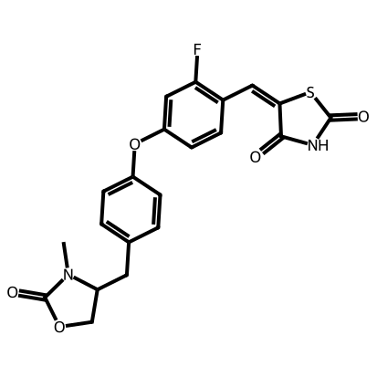 CN1C(=O)OCC1Cc1ccc(Oc2ccc(C=C3SC(=O)NC3=O)c(F)c2)cc1